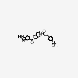 O=C(CCc1ccc(OC(F)(F)F)cc1)N1CCC2CN(C(=O)c3ccc4[nH]nnc4c3)CC2C1